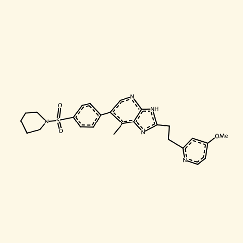 COc1ccnc(CCc2nc3c(C)c(-c4ccc(S(=O)(=O)N5CCCCC5)cc4)cnc3[nH]2)c1